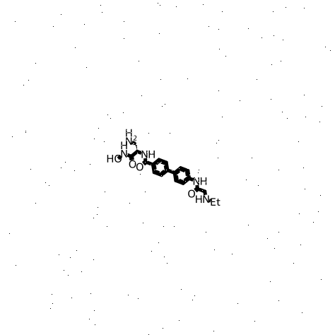 CCNCC(=O)Nc1ccc(-c2ccc(C(=O)N[C@@H](CN)C(=O)NO)cc2)cc1